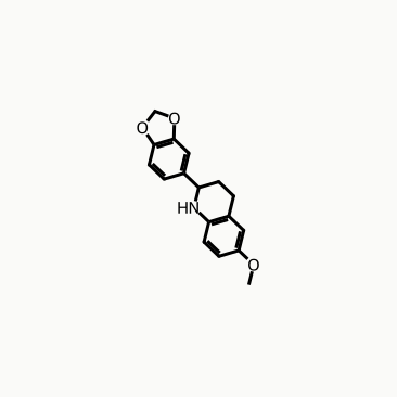 COc1ccc2c(c1)CCC(c1ccc3c(c1)OCO3)N2